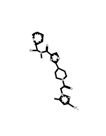 CCC(c1ccccc1)N(C)C(=O)c1csc(C2CCN(C(=O)Cn3nc(C(F)(F)F)cc3C)CC2)n1